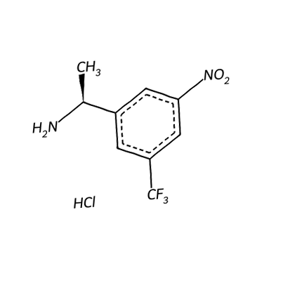 C[C@H](N)c1cc([N+](=O)[O-])cc(C(F)(F)F)c1.Cl